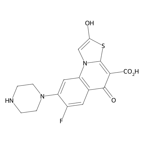 O=C(O)c1c(=O)c2cc(F)c(N3CCNCC3)cc2n2cc(O)sc12